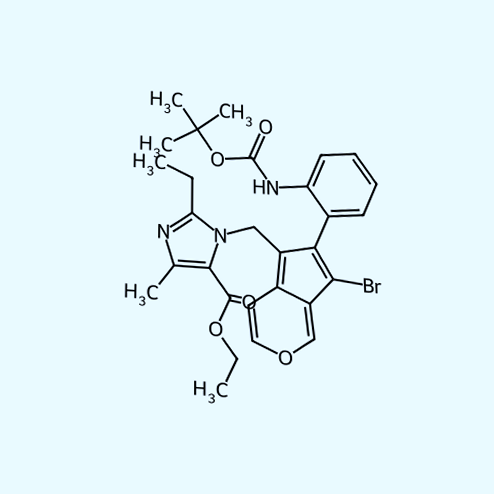 CCOC(=O)c1c(C)nc(CC)n1Cc1c2ccocc-2c(Br)c1-c1ccccc1NC(=O)OC(C)(C)C